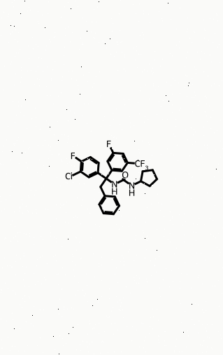 O=C(NC1CCCC1)NC(Cc1ccccc1)(c1cc(F)cc(C(F)(F)F)c1)c1ccc(F)c(Cl)c1